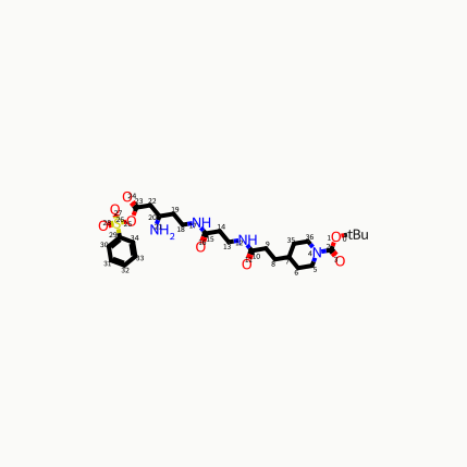 CC(C)(C)OC(=O)N1CCC(CCC(=O)NCCC(=O)NCCC(N)CC(=O)OS(=O)(=O)c2ccccc2)CC1